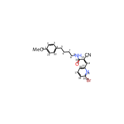 COc1ccc(CCCCNC(=O)/C(C#N)=C\c2cccc(Br)n2)cc1